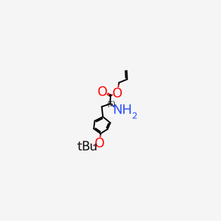 C=CCOC(=O)[C@@H](N)Cc1ccc(OC(C)(C)C)cc1